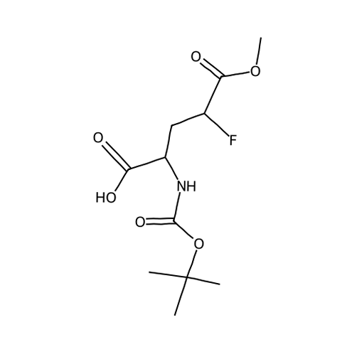 COC(=O)C(F)CC(NC(=O)OC(C)(C)C)C(=O)O